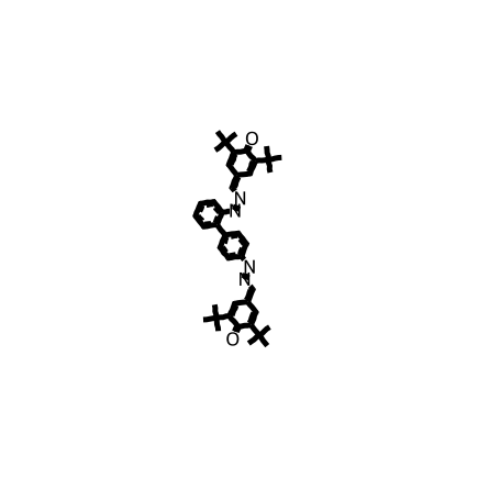 CC(C)(C)C1=CC(=C/N=N\c2ccccc2-c2ccc(/N=N/C=C3C=C(C(C)(C)C)C(=O)C(C(C)(C)C)=C3)cc2)C=C(C(C)(C)C)C1=O